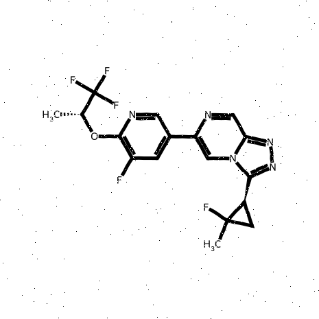 C[C@@H](Oc1ncc(-c2cn3c([C@H]4CC4(C)F)nnc3cn2)cc1F)C(F)(F)F